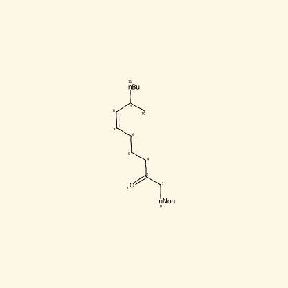 CCCCCCCCCCC(=O)CCC/C=C\C(C)CCCC